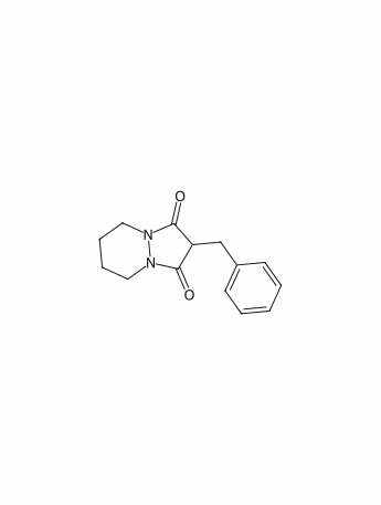 O=C1C(Cc2ccccc2)C(=O)N2CCCCN12